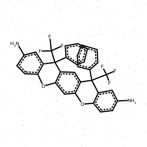 Nc1ccc2c(c1)C(c1ccccc1)(C(F)(F)F)c1cc3c(cc1O2)Oc1ccc(N)cc1C3(c1ccccc1)C(F)(F)F